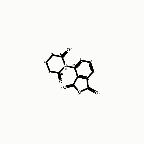 O=C1OC(=O)c2c1cccc2N1C(=O)CCCC1=O